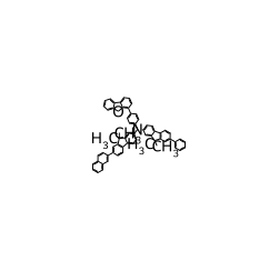 CC1(C)c2cc(-c3ccccc3)ccc2-c2ccc(N(c3ccc(-c4cccc5c4oc4ccccc45)cc3)c3ccc4c(c3)C(C)(C)c3cc(-c5ccc6ccccc6c5)ccc3-4)cc21